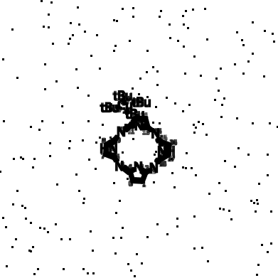 C1=Cc2nc1nc1ccc(nc3nc(nc4ccc(n2)[nH]4)C=C3)[nH]1.C[C](C)(C)[Cu]([C](C)(C)C)([C](C)(C)C)[C](C)(C)C